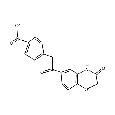 O=C1COc2ccc(C(=O)Cc3ccc([N+](=O)[O-])cc3)cc2N1